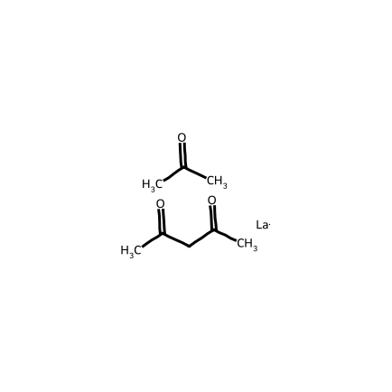 CC(=O)CC(C)=O.CC(C)=O.[La]